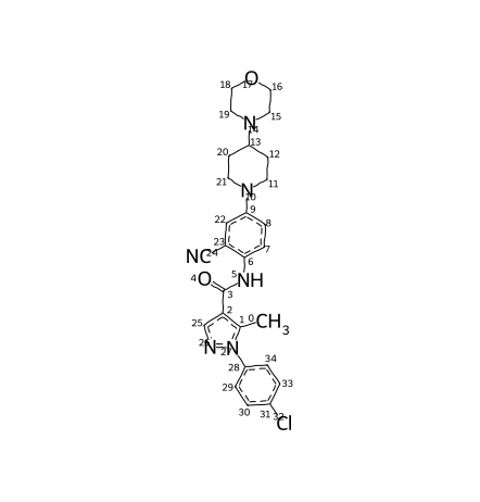 Cc1c(C(=O)Nc2ccc(N3CCC(N4CCOCC4)CC3)cc2C#N)cnn1-c1ccc(Cl)cc1